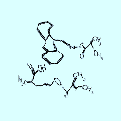 C=C(C)C(=O)ON=Cc1c2ccccc2cc2ccccc12.C=C(CCCOC(=O)C(=C)CC)C(=O)O